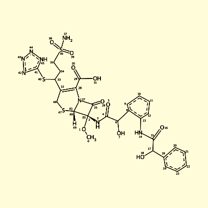 CO[C@@]1(NC(=O)C(O)c2ccccc2NC(=O)C(O)c2ccccc2)C(=O)N2C(C(=O)O)=C(C(CCS(N)(=O)=O)Sc3nnn[nH]3)CS[C@H]21